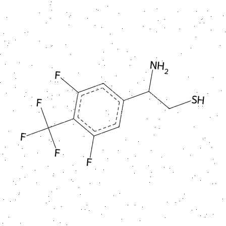 NC(CS)c1cc(F)c(C(F)(F)F)c(F)c1